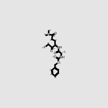 C[C@H](NC(=O)OCc1ccccc1)C(=O)NC(CCC(=O)N(C)C)C(=O)CF